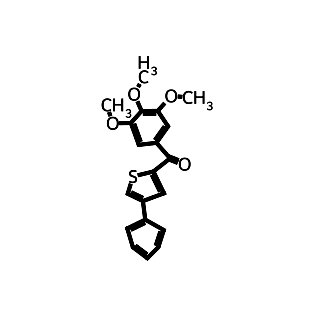 COc1cc(C(=O)c2cc(-c3ccccc3)cs2)cc(OC)c1OC